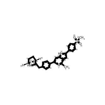 Cc1nc(-c2ccc(CN3C[C@H]4CC[C@@H]3CN4)cc2)cc2[nH]c(-c3ccc(S(C)(=O)=O)cc3)cc12